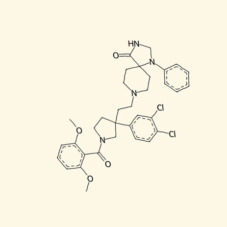 COc1cccc(OC)c1C(=O)N1CCC(CCN2CCC3(CC2)C(=O)NCN3c2ccccc2)(c2ccc(Cl)c(Cl)c2)C1